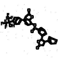 O=C1CC(C2CC3C=CC2C3)C(C2=CC3CC(C(=O)OC4C5CC6C4OC(=O)C6C5C4=CC5CC4CC5C(O)(C(F)(F)F)C(F)(F)F)C2C3)O1